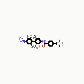 CCNc1ccc(-c2ccc(NC(=O)c3ccc(C(C)C=O)cc3)cc2S(=O)(=O)O)c(S(=O)(=O)O)c1